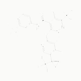 Cc1c(C(F)(F)F)nnc(Oc2ncc(C3(C(F)(F)F)CC3)c(F)c2F)c1C(=O)Nc1cccc(S(C)(=O)=O)c1